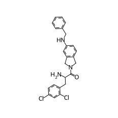 NC(Cc1ccc(Cl)cc1Cl)C(=O)N1Cc2ccc(NCc3ccccc3)cc2C1